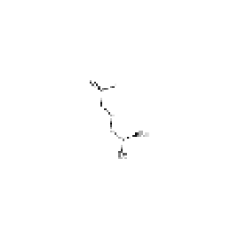 C=C(C)CCCC(CC)CCCC